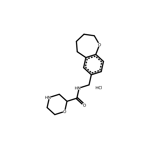 Cl.O=C(NCc1ccc2c(c1)CCCCO2)C1CNCCO1